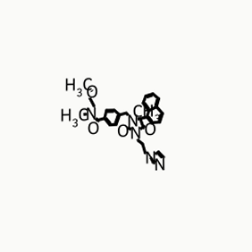 COCCN(C)C(=O)c1ccc(CN2C(=O)N(CCCn3ccnc3)C(=O)C2(C)c2cccc3ccccc23)cc1